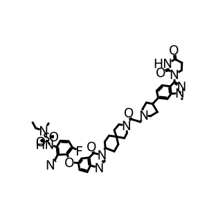 CCN(C)S(=O)(=O)Nc1ccc(F)c(Oc2ccc3ncn(C4CCC5(CC4)CCN(C(=O)CN4CCC(c6ccc7c(N8CCC(=O)NC8=O)nn(C)c7c6)CC4)CC5)c(=O)c3c2)c1C#N